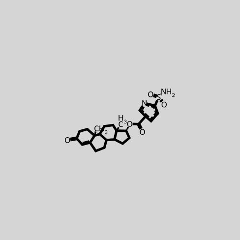 C[C@]12CCC(=O)C=C1CCC1C2CC[C@@]2(C)C1CC[C@@H]2OC(=O)c1ccc(S(N)(=O)=O)nc1